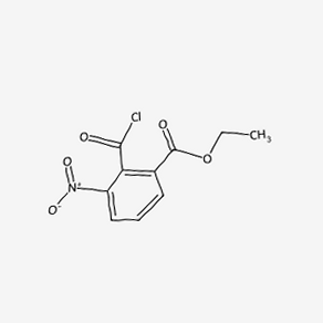 CCOC(=O)c1cccc([N+](=O)[O-])c1C(=O)Cl